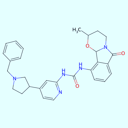 CC1CCN2C(=O)c3cccc(NC(=O)Nc4cc(C5CCN(Cc6ccccc6)C5)ccn4)c3C2O1